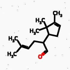 CC(C)=CCC(C=O)C1CC=C(C)C1(C)C